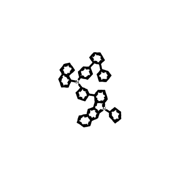 c1ccc(-c2ccccc2-c2ccc(N(c3cccc(-c4cccc5c4c4cc6ccccc6cc4n5-c4ccccc4)c3)c3cccc4ccccc34)cc2)cc1